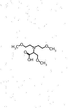 COCCN(CCOC)C(COC)C(=O)O